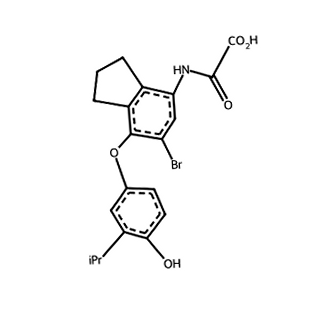 CC(C)c1cc(Oc2c(Br)cc(NC(=O)C(=O)O)c3c2CCC3)ccc1O